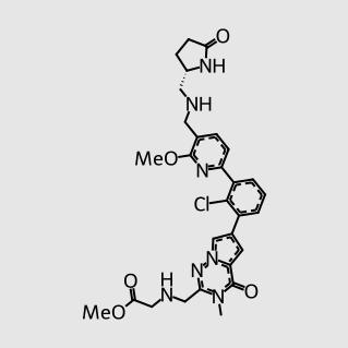 COC(=O)CNCc1nn2cc(-c3cccc(-c4ccc(CNC[C@@H]5CCC(=O)N5)c(OC)n4)c3Cl)cc2c(=O)n1C